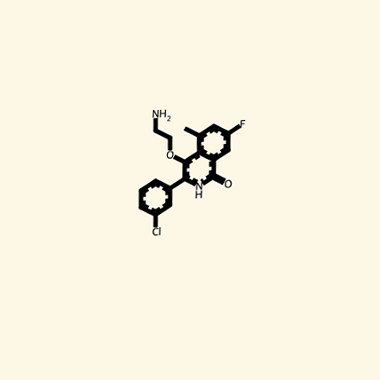 Cc1cc(F)cc2c(=O)[nH]c(-c3cccc(Cl)c3)c(OCCN)c12